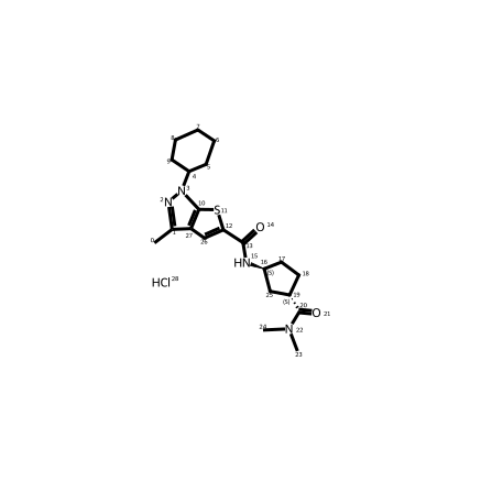 Cc1nn(C2CCCCC2)c2sc(C(=O)N[C@H]3CC[C@H](C(=O)N(C)C)C3)cc12.Cl